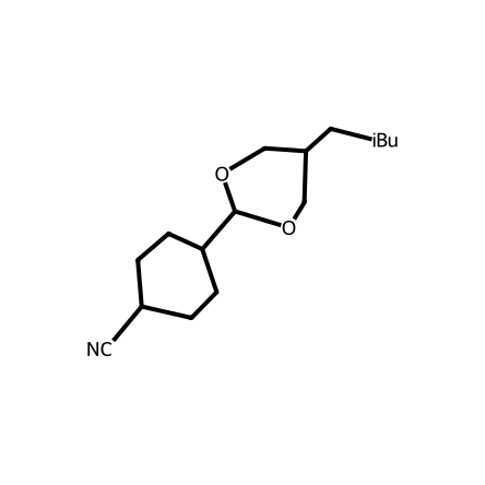 CCC(C)CC1COC(C2CCC(C#N)CC2)OC1